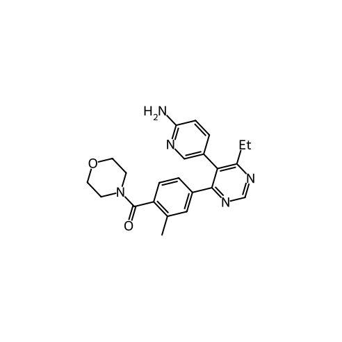 CCc1ncnc(-c2ccc(C(=O)N3CCOCC3)c(C)c2)c1-c1ccc(N)nc1